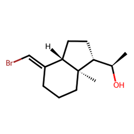 C[C@@H](O)[C@H]1CC[C@H]2/C(=C/Br)CCC[C@]12C